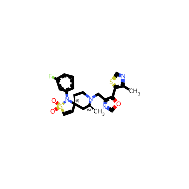 Cc1ncsc1-c1ocnc1CN1CC[C@]2(C=CS(=O)(=O)N2c2cccc(F)c2)C[C@@H]1C